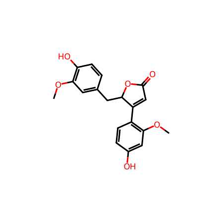 COc1cc(CC2OC(=O)C=C2c2ccc(O)cc2OC)ccc1O